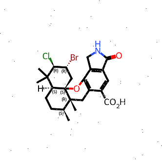 C[C@H]1CC[C@H]2C(C)(C)[C@@H](Cl)[C@H](Br)C[C@]23Oc2c(c(C(=O)O)cc4c2CNC4=O)C[C@]13C